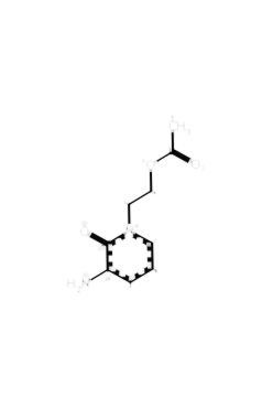 CC(=O)OCCn1cccc(N)c1=O